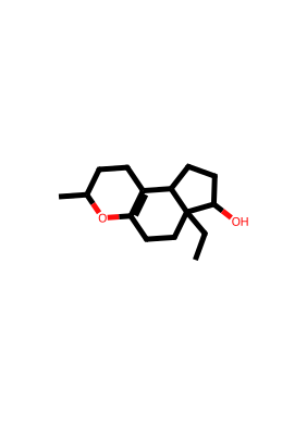 CCC12CCC3=C(CCC(C)O3)C1CCC2O